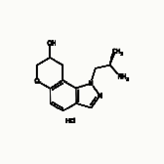 C[C@@H](N)Cn1ncc2ccc3c(c21)CC(O)CO3.Cl